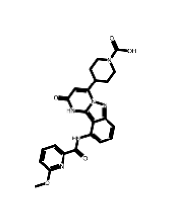 COc1cccc(C(=O)Nc2cccc3nn4c(C5CCN(C(=O)O)CC5)cc(=O)[nH]c4c23)n1